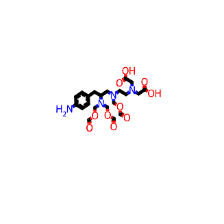 Nc1ccc(CC(CN(CCN(CC(=O)O)CC(=O)O)COC=O)N(COC=O)COC=O)cc1